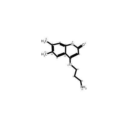 Cc1cc2oc(=O)cc(OCCCN)c2cc1C